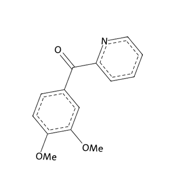 COc1ccc(C(=O)c2ccccn2)cc1OC